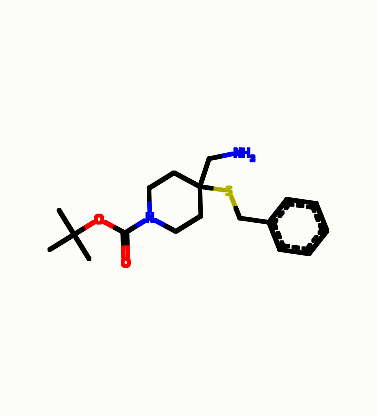 CC(C)(C)OC(=O)N1CCC(CN)(SCc2ccccc2)CC1